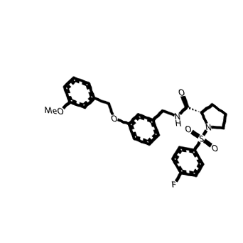 COc1cccc(COc2cccc(CNC(=O)[C@@H]3CCCN3S(=O)(=O)c3ccc(F)cc3)c2)c1